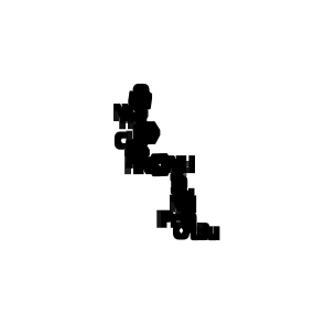 CC(C)[C@H](OC(=O)C(C)(C)C)n1nnc(COC[C@@H](C)N[C@H]2CC[C@H](Nc3cc(-c4cccc(NCC5(C#N)CCOCC5)n4)c(Cl)cn3)CC2)n1